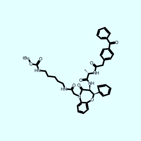 C[C@H](NC(=O)Cc1ccc(C(=O)c2ccccc2)cc1)C(=O)N[C@@H]1C(=O)N(CC(=O)NCCCCCNC(=O)OC(C)(C)C)c2ccccc2O[C@@H]1c1ccccc1